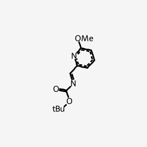 COc1cccc(/C=N/C(=O)OC(C)(C)C)n1